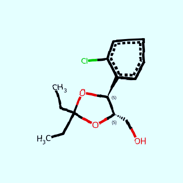 CCC1(CC)O[C@@H](CO)[C@H](c2ccccc2Cl)O1